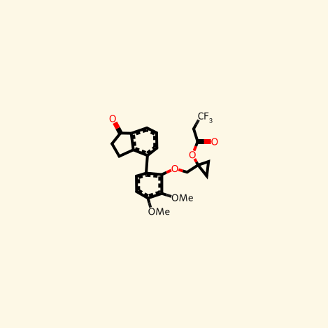 COc1ccc(-c2cccc3c2CCC3=O)c(OCC2(OC(=O)CC(F)(F)F)CC2)c1OC